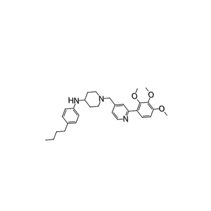 CCCCc1ccc(NC2CCN(Cc3ccnc(-c4ccc(OC)c(OC)c4OC)c3)CC2)cc1